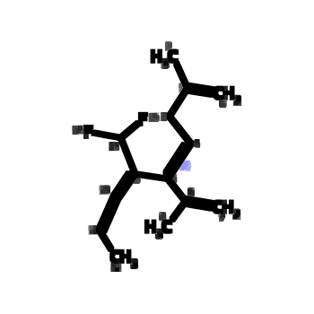 C=C(C)C/C=C(/C(=C)C)C(=C=CC)C(F)F